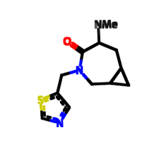 CNC1CC2CC2CN(Cc2cncs2)C1=O